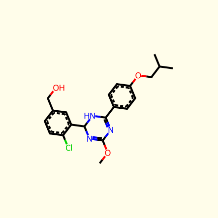 COC1=NC(c2cc(CO)ccc2Cl)NC(c2ccc(OCC(C)C)cc2)=N1